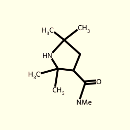 CNC(=O)C1CC(C)(C)NC1(C)C